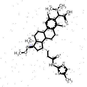 CO/N=C1\C[C@@H](CCC(=O)Nc2ncc(C)s2)C2C3CCc4c(cc(I)c(C(C(=O)O)N(C)C)c4I)C3CC[C@]12C